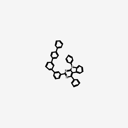 c1ccc(-c2ccc(-c3cccc(-c4cccc(-c5nc(-c6ccccc6)c6c7ccccc7n(-c7ccccc7)c6n5)c4)c3)cc2)cc1